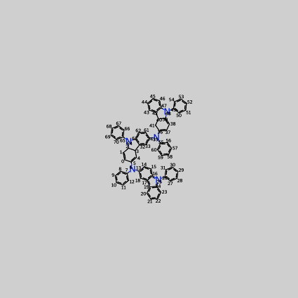 C1=CC2C(C=C1N(c1ccccc1)c1ccc3c(c1)c1ccccc1n3-c1ccccc1)c1cc(N(C3=CC=C4C(C3)c3ccccc3N4c3ccccc3)c3ccccc3)ccc1N2c1ccccc1